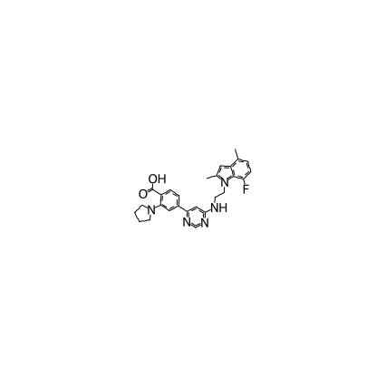 Cc1ccc(F)c2c1cc(C)n2CCNc1cc(-c2ccc(C(=O)O)c(N3CCCC3)c2)ncn1